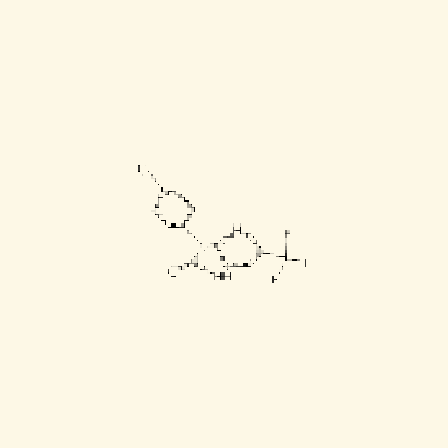 O=c1[nH]c2cc(C(F)(F)F)cnc2n1-c1ccc(Cl)cc1